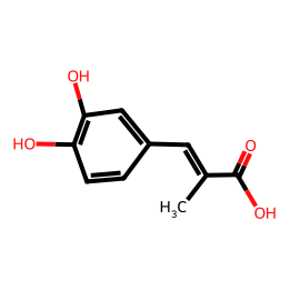 C/C(=C\c1ccc(O)c(O)c1)C(=O)O